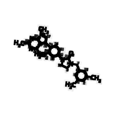 Cc1cc(C)cc(CN2CCN(c3ccc(-c4cn(C)c5nc(C)nc(N)c45)c(C)c3)C2=O)c1